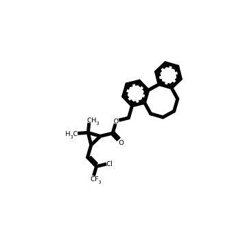 CC1(C)C(C=C(Cl)C(F)(F)F)C1C(=O)OCc1cccc2c1CCCCc1ccccc1-2